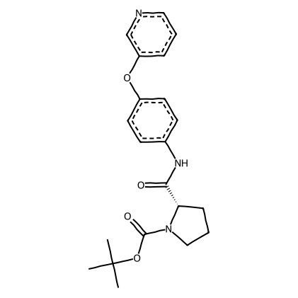 CC(C)(C)OC(=O)N1CCC[C@H]1C(=O)Nc1ccc(Oc2cccnc2)cc1